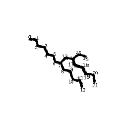 CCCCCCCC(CCCCC)CC(CC)CCCCC